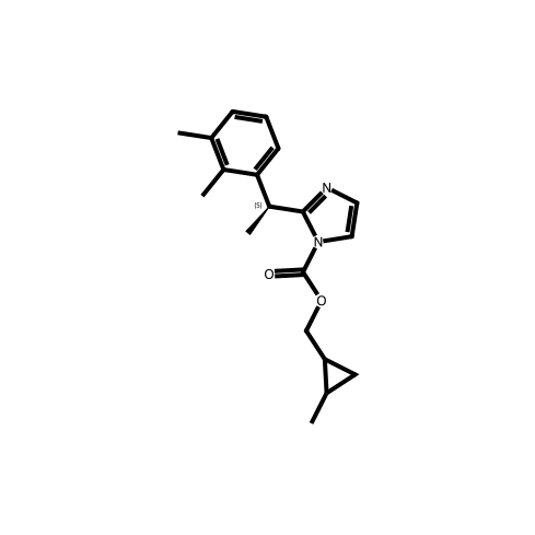 Cc1cccc([C@H](C)c2nccn2C(=O)OCC2CC2C)c1C